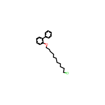 ClCCCCCCCCCCCOc1ccccc1-c1ccccc1